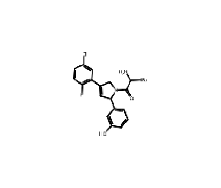 CCC(C)C(N)C(=O)N1CC(c2cc(Cl)ccc2F)=CC1c1cccc(O)c1